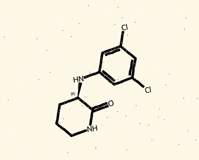 O=C1NCCC[C@H]1Nc1cc(Cl)cc(Cl)c1